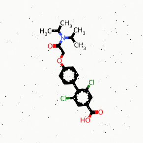 CC(C)N(C(=O)COc1ccc(-c2c(Cl)cc(C(=O)O)cc2Cl)cc1)C(C)C